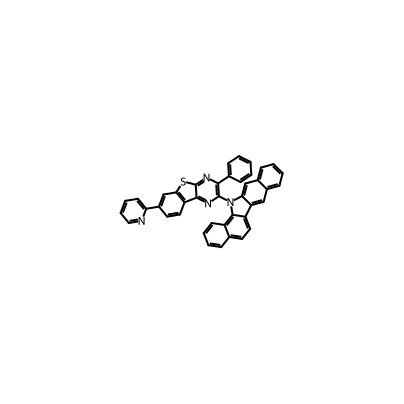 c1ccc(-c2nc3sc4cc(-c5ccccn5)ccc4c3nc2-n2c3cc4ccccc4cc3c3ccc4ccccc4c32)cc1